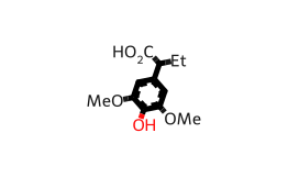 CCC(C(=O)O)c1cc(OC)c(O)c(OC)c1